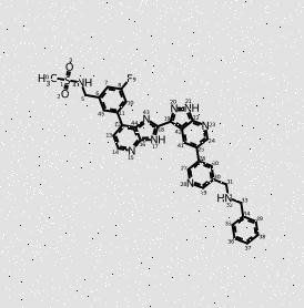 CS(=O)(=O)NCc1cc(F)cc(-c2ccnc3[nH]c(-c4n[nH]c5ncc(-c6cncc(CNCc7ccccc7)c6)cc45)nc23)c1